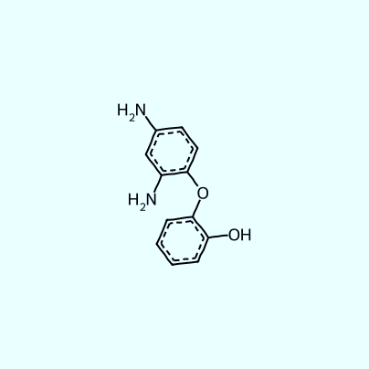 Nc1ccc(Oc2ccccc2O)c(N)c1